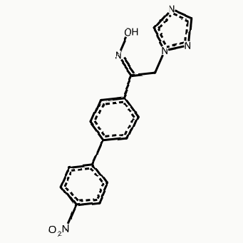 O=[N+]([O-])c1ccc(-c2ccc(C(Cn3cncn3)=NO)cc2)cc1